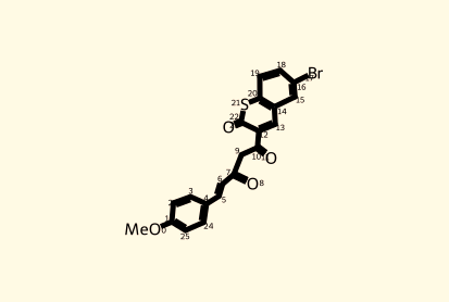 COc1ccc(C=CC(=O)CC(=O)c2cc3cc(Br)ccc3sc2=O)cc1